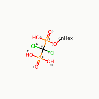 CCCCCCOP(=O)(O)C(Cl)(Cl)P(=O)(O)O